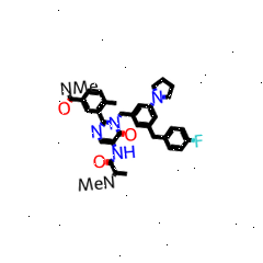 CNC(=O)c1ccc(C)c(-c2ncc(NC(=O)C(C)NC)c(=O)n2Cc2cc(Cc3ccc(F)cc3)cc(N3CCCC3)c2)c1